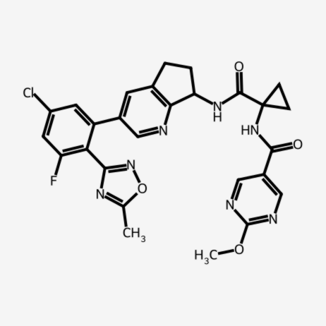 COc1ncc(C(=O)NC2(C(=O)NC3CCc4cc(-c5cc(Cl)cc(F)c5-c5noc(C)n5)cnc43)CC2)cn1